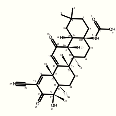 CC1(C)CC[C@]2(NC(=O)O)CC[C@]3(C)[C@H](C(=O)C=C4[C@@]5(C)C=C(C#N)C(=O)[C@@](C)(O)[C@@H]5CC[C@]43C)[C@@H]2C1